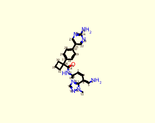 C=C(/C=C\C(=C/N)c1ncnn1C)NC(=O)C1(c2ccc(-c3cnc(N)nc3)cc2)CCC1